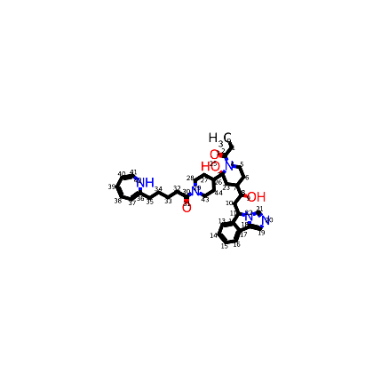 CCC(=O)N1CCC(C(O)CC2c3ccccc3-c3cncn32)CC1(O)C1CCN(C(=O)CCCCC2=CC=CC=CN2)CC1